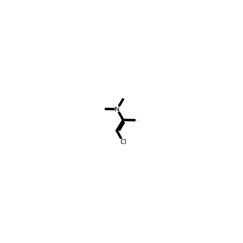 [CH2]/C(=C\Cl)N(C)C